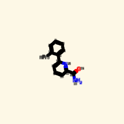 CCCc1ccccc1-c1cccc(C(N)=O)n1